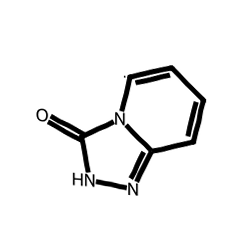 O=c1[nH]nc2ccc[c]n12